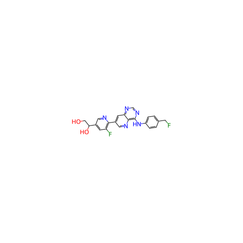 OCC(O)c1cnc(-c2cnc3c(Nc4ccc(CF)cc4)ncnc3c2)c(F)c1